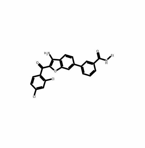 CCNC(=O)c1cccc(-c2ccc3c(N)c(C(=O)c4ccc(Cl)cc4Cl)oc3c2)c1